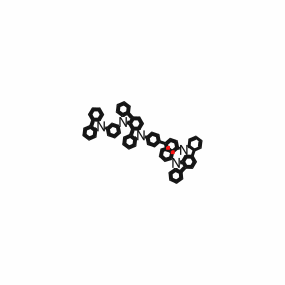 C1=CC2c3ccc4c5ccccc5n(-c5ccccc5)c4c3N(c3ccc(-c4ccc(-n5c6ccccc6c6c5ccc5c7ccccc7n(-c7cccc(-n8c9ccccc9c9ccccc98)c7)c56)cc4)cc3)C2C=C1